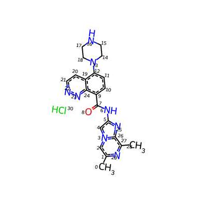 Cc1cn2cc(NC(=O)c3ccc(N4CCNCC4)c4ccnnc34)nc2c(C)n1.Cl